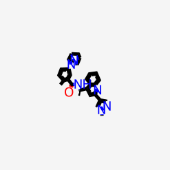 Cc1ccc(N2CC3CC(C2)N3C)cc1C(=O)N[C@H](C)c1cc(-c2cnn(C)c2)nc2ccccc12